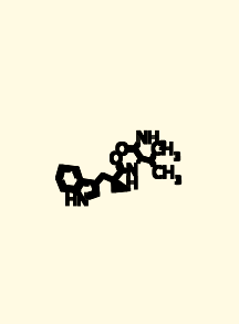 CC(C)[C@H](NC(=O)C1(Cc2c[nH]c3ccccc23)C=C1)C(N)=O